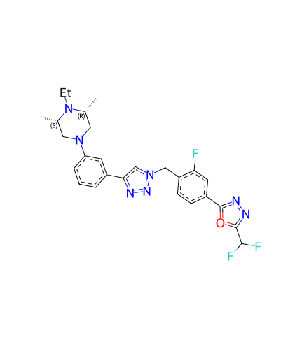 CCN1[C@H](C)CN(c2cccc(-c3cn(Cc4ccc(-c5nnc(C(F)F)o5)cc4F)nn3)c2)C[C@@H]1C